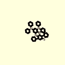 c1ccc(N(c2ccccc2)c2cc3c4c(c2)-n2c5ccccc5c5cc6sc7ccccc7c6c(c52)B4c2ccccc2N3c2ccccc2)cc1